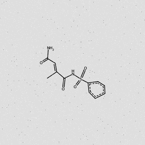 CC(=CC(N)=O)C(=O)NS(=O)(=O)c1ccccc1